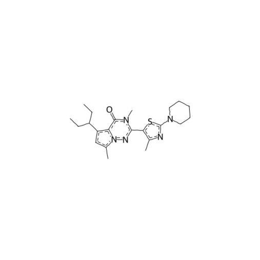 CCC(CC)c1cc(C)n2nc(-c3sc(N4CCCCC4)nc3C)n(C)c(=O)c12